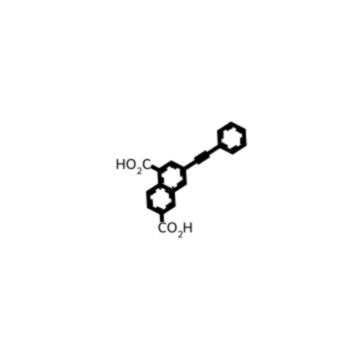 O=C(O)c1ccc2c(C(=O)O)cc(C#Cc3ccccc3)cc2c1